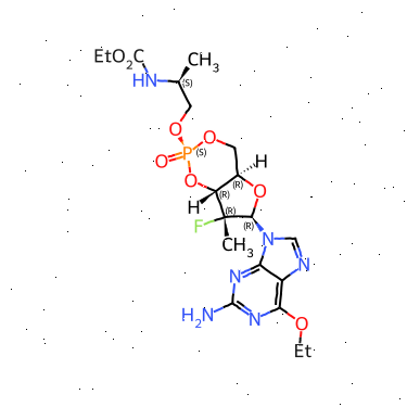 CCOC(=O)N[C@@H](C)CO[P@@]1(=O)OC[C@H]2O[C@@H](n3cnc4c(OCC)nc(N)nc43)[C@](C)(F)[C@@H]2O1